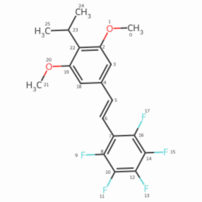 COc1cc(C=Cc2c(F)c(F)c(F)c(F)c2F)cc(OC)c1C(C)C